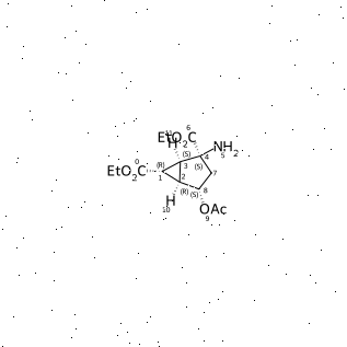 CCOC(=O)[C@H]1[C@H]2[C@@H]1[C@](N)(C(=O)OCC)C[C@@H]2OC(C)=O